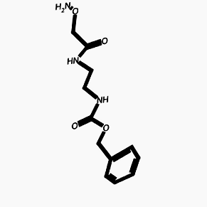 NOCC(=O)NCCNC(=O)OCc1ccccc1